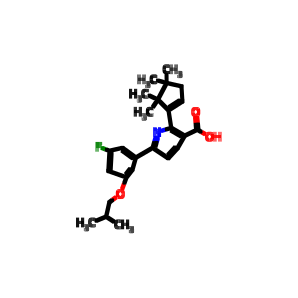 CC(C)COc1cc(F)cc(-c2ccc(C(=O)O)c(C3=CCC(C)(C)C3(C)C)n2)c1